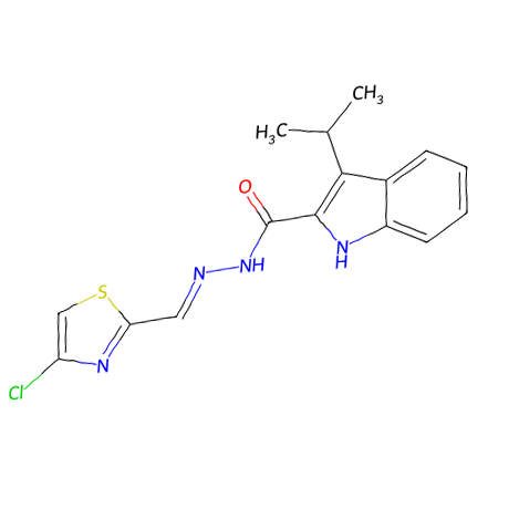 CC(C)c1c(C(=O)NN=Cc2nc(Cl)cs2)[nH]c2ccccc12